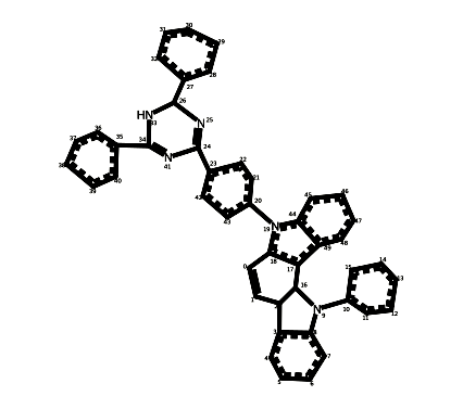 C1=CC2c3ccccc3N(c3ccccc3)C2c2c1n(-c1ccc(C3=NC(c4ccccc4)NC(c4ccccc4)=N3)cc1)c1ccccc21